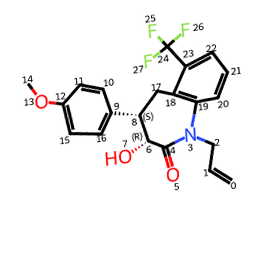 C=CCN1C(=O)[C@H](O)[C@H](c2ccc(OC)cc2)Cc2c1cccc2C(F)(F)F